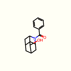 O=C(c1ccccc1)N1C2CC3CC(C2)C(O)C1C3